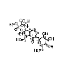 CCOP(=O)(OCC)C(Nc1nn(CO)c2c(=O)n(C3OC(CO)C(O)C(O)C3O)nnc12)C(=O)O